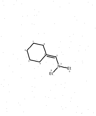 CCN(C=C1CCCCC1)CC